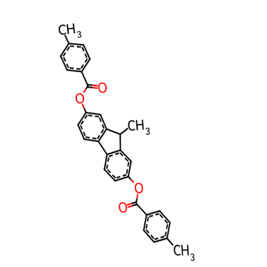 Cc1ccc(C(=O)Oc2ccc3c(c2)C(C)c2cc(OC(=O)c4ccc(C)cc4)ccc2-3)cc1